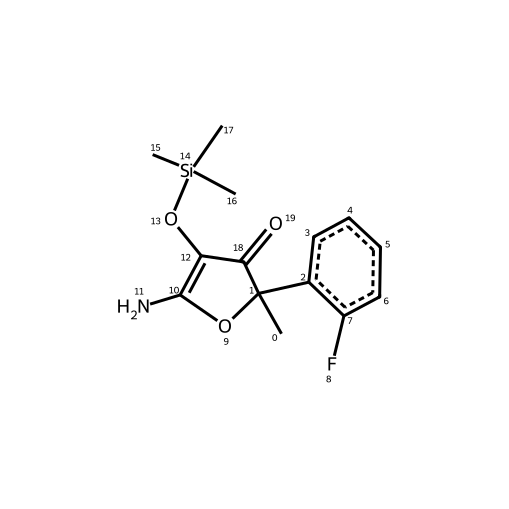 CC1(c2ccccc2F)OC(N)=C(O[Si](C)(C)C)C1=O